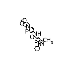 Cc1nn(C2CCCCC2)c2sc(C(=O)Nc3ccc(N4CCC5(CC4)OCCO5)c(F)c3)cc12